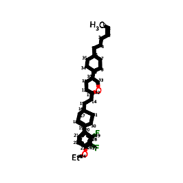 C/C=C\CCCC1CCC(C2CCC(CCC3CC=C(c4ccc(OCC)c(F)c4F)CC3)OC2)CC1